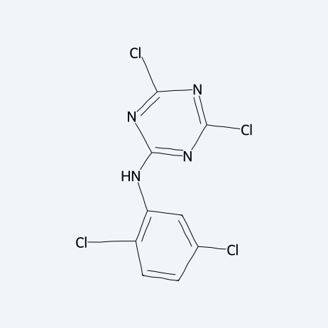 Clc1ccc(Cl)c(Nc2nc(Cl)nc(Cl)n2)c1